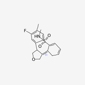 CNS(=O)(=O)C1=CC=CC/C1=C1\COCC1c1ccc(C)c(F)c1